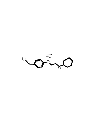 Cl.ClCc1ccc(OCCNC2CCCCC2)cc1